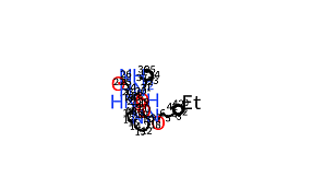 CCc1ccc(CCC(=O)N[C@H]2CCCCC3CC[C@@H](C(=O)N[C@@H](CCC(N)=O)C(=O)NCc4ccccc4)N3C2=O)cc1